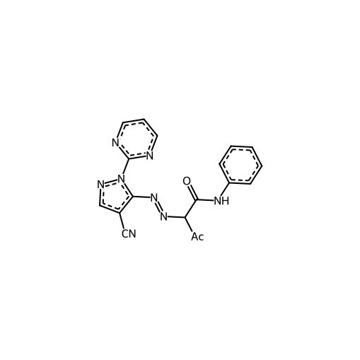 CC(=O)C(N=Nc1c(C#N)cnn1-c1ncccn1)C(=O)Nc1ccccc1